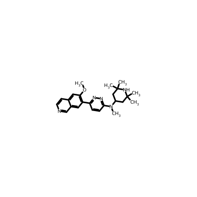 COc1cc2ccncc2cc1-c1ccc(N(C)C2CC(C)(C)NC(C)(C)C2)nn1